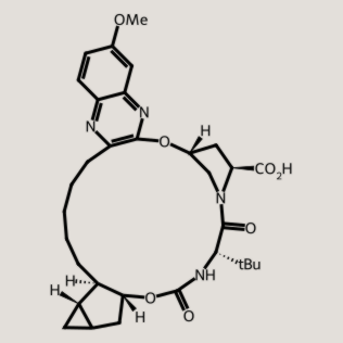 COc1ccc2nc3c(nc2c1)O[C@@H]1C[C@@H](C(=O)O)N(C1)C(=O)[C@H](C(C)(C)C)NC(=O)O[C@@H]1CC2C[C@@H]2[C@H]1CCCCC3